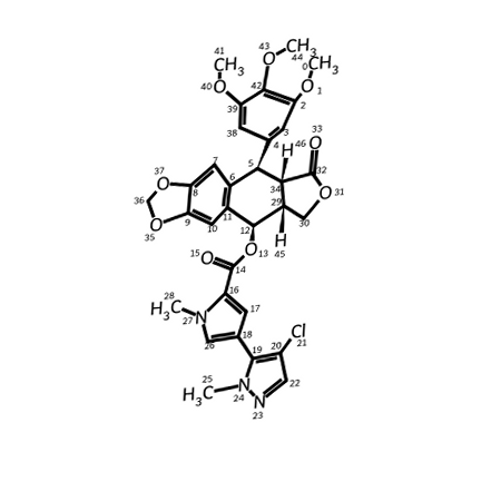 COc1cc([C@@H]2c3cc4c(cc3[C@H](OC(=O)c3cc(-c5c(Cl)cnn5C)cn3C)[C@H]3COC(=O)[C@@H]23)OCO4)cc(OC)c1OC